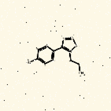 CCCc1snnc1-c1ccc(O)cc1